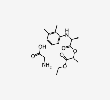 CCOC(=O)C(C)OC(=O)[C@H](C)Nc1cccc(C)c1C.NCC(=O)O